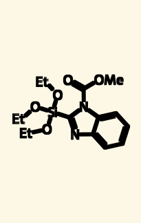 CCO[Si](OCC)(OCC)c1nc2ccccc2n1C(=O)OC